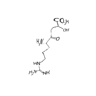 N=C(N)NCCC[C@H](N)C(=O)CC(O)C(=O)O